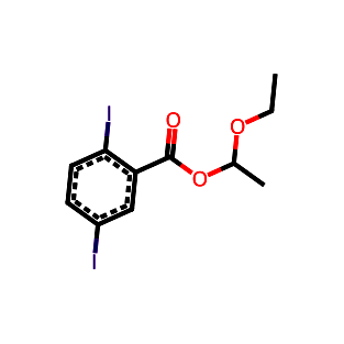 CCOC(C)OC(=O)c1cc(I)ccc1I